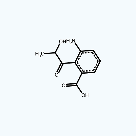 CC(O)C(=O)c1c(N)cccc1C(=O)O